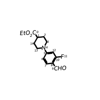 CCOC(=O)C1CCN(c2ccc(C=O)c(F)c2)CC1